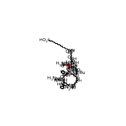 CCCC[C@H](NC(=O)[C@H](CN)NC(=O)[C@H](Cc1c[nH]cn1)NC(=O)[C@@H](CCC(N)=O)NC(=O)[C@H](CO)NC(=O)CNC(=O)CCCS(=O)(=O)NC(=O)CCCCCCCCCCCCCCC(=O)O)C(=O)N[C@H]1CCC(=O)NCCCC[C@@H](C(N)=O)NC(=O)[C@H](Cc2c[nH]c3ccccc23)NC(=O)[C@H](CCCNC(=N)N)NC(=O)[C@@H](Cc2ccccc2)NC(=O)[C@@H]2C[C@@H](O)CN2C1=O